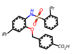 CC(C)c1ccc(NS(=O)(=O)c2ccccc2C(C)C)c(OCc2ccc(C(=O)O)cc2)c1